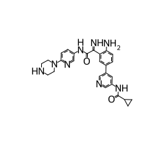 N=C(C(=O)Nc1ccc(N2CCNCC2)nc1)c1cc(-c2cncc(NC(=O)C3CC3)c2)ccc1N